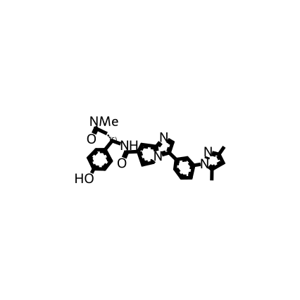 CNC(=O)C[C@H](NC(=O)c1ccn2c(-c3cccc(-n4nc(C)cc4C)c3)cnc2c1)c1ccc(O)cc1